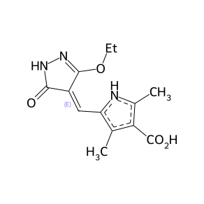 CCOC1=NNC(=O)/C1=C/c1[nH]c(C)c(C(=O)O)c1C